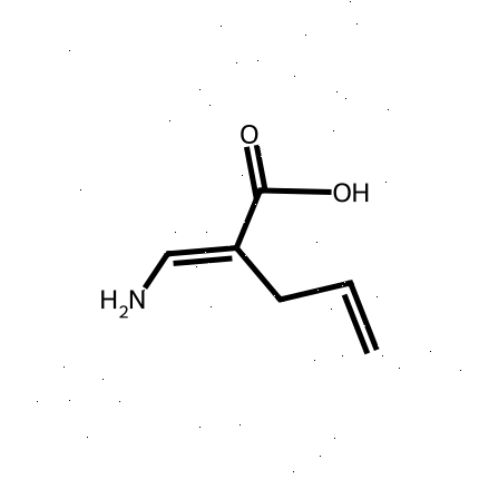 C=CC/C(=C\N)C(=O)O